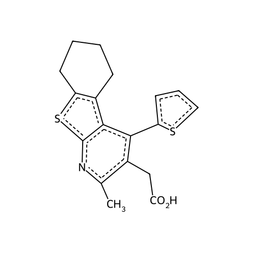 Cc1nc2sc3c(c2c(-c2cccs2)c1CC(=O)O)CCCC3